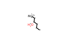 CCCC[CH2][Mg+2].O